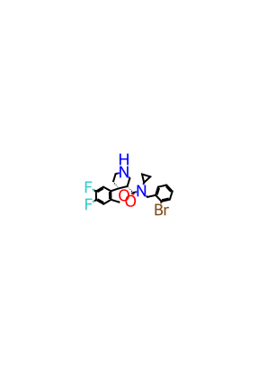 O=C([C@H]1CNCC[C@@]12OCc1cc(F)c(F)cc12)N(Cc1ccccc1Br)C1CC1